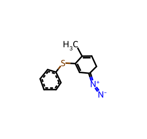 CC1=CCC(=[N+]=[N-])C=C1Sc1ccccc1